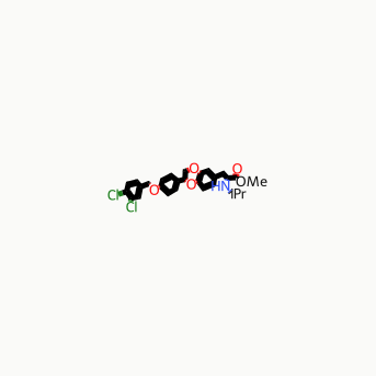 COC(=O)C(Cc1ccc2c(c1)OCC(c1ccc(OCc3ccc(Cl)c(Cl)c3)cc1)O2)NC(C)C